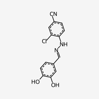 N#Cc1ccc(NN=Cc2ccc(O)c(O)c2)c(Cl)c1